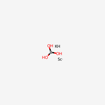 OB(O)O.[KH].[Sc]